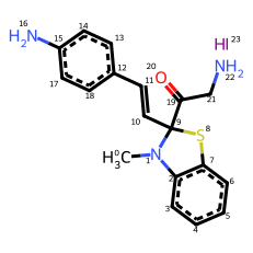 CN1c2ccccc2SC1(/C=C/c1ccc(N)cc1)C(=O)CN.I